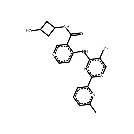 Cc1cccc(-c2ncc(C(C)C)c(Nc3ccncc3C(=O)NC3CC(O)C3)n2)n1